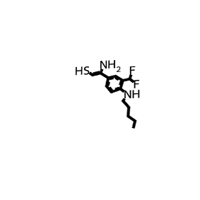 CCCCCNc1ccc(/C(N)=C/S)cc1C(F)F